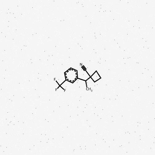 CC(c1cccc(C(F)(F)F)c1)C1(C#N)CCC1